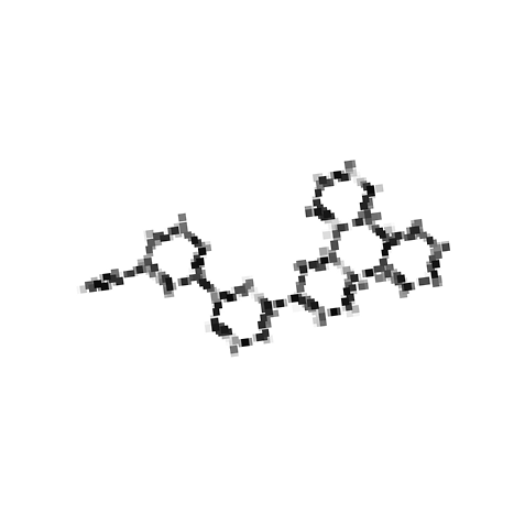 N#Cc1cncc(-c2cccc(-c3ccc4c5ccccc5c5ccccc5c4c3)c2)c1